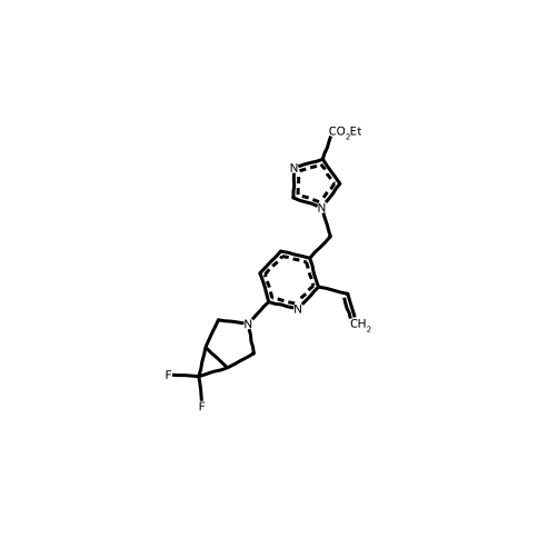 C=Cc1nc(N2CC3C(C2)C3(F)F)ccc1Cn1cnc(C(=O)OCC)c1